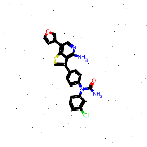 NC(=O)N(c1ccc(-c2csc3c(-c4ccoc4)cnc(N)c23)cc1)c1cccc(Cl)c1